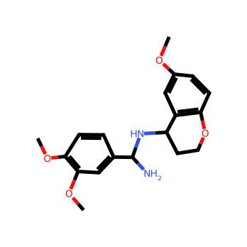 COc1ccc2c(c1)C(NC(N)c1ccc(OC)c(OC)c1)CCO2